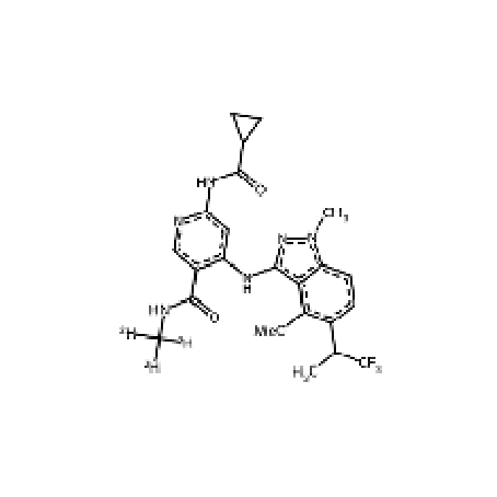 [2H]C([2H])([2H])NC(=O)c1cnc(NC(=O)C2CC2)cc1Nc1nn(C)c2ccc(C(C)C(F)(F)F)c(OC)c12